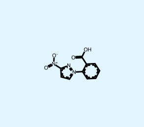 O=C(O)c1ccccc1-n1ccc([N+](=O)[O-])n1